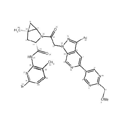 COCc1ncc(-c2cc3c(C(C)=O)nn(CC(=O)N4C5C[C@]5(C)C[C@H]4C(=O)Nc4nc(Br)ccc4C)c3cn2)cn1